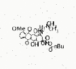 CCCCC(=O)OCC(=O)[C@]1(O)Cc2c(O)c3c(c(O)c2[C@@H](NCCN(C)C)C1)C(=O)c1c(OC)cccc1C3=O